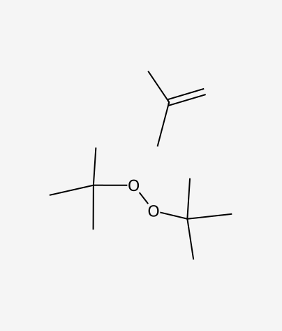 C=C(C)C.CC(C)(C)OOC(C)(C)C